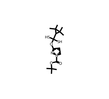 CC(C)(C)OC(=O)n1ccc(OC(S)(S)C2C(C)(C)C2(C)C)n1